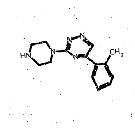 Cc1ccccc1-c1cnnc(N2CCNCC2)n1